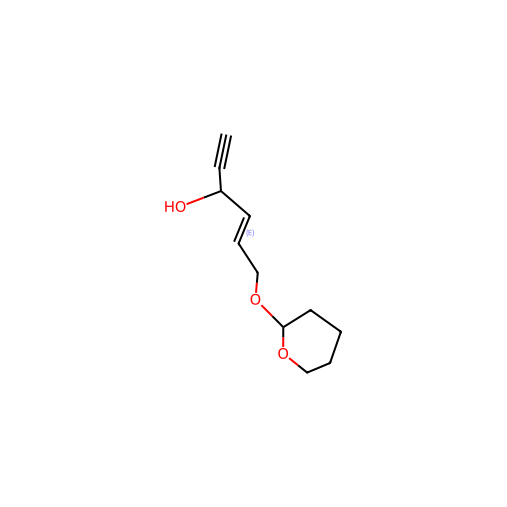 C#CC(O)/C=C/COC1CCCCO1